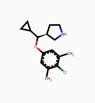 Cc1cc(OC(C2CC2)[C@H]2CCNC2)cc(C)c1Cl